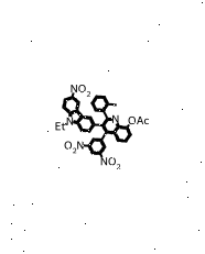 CCn1c2ccc(-c3c(-c4ccccc4C)nc4c(OC(C)=O)cccc4c3-c3cc([N+](=O)[O-])cc([N+](=O)[O-])c3)cc2c2cc([N+](=O)[O-])ccc21